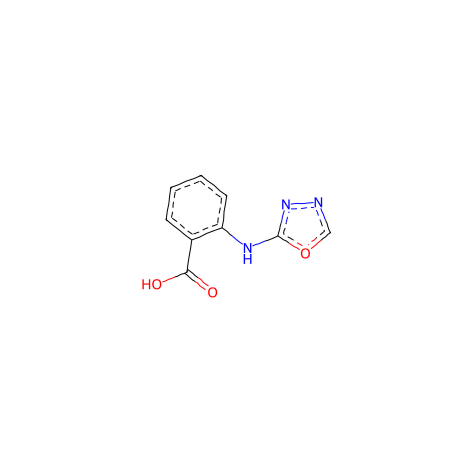 O=C(O)c1ccccc1Nc1nnco1